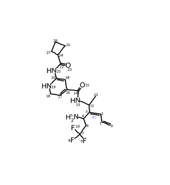 C=C/C=C(\C(N)CC(F)(F)F)C(C)NC(=O)C1=CCNC(NC(=O)C2CCC2)=C1